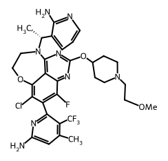 COCCN1CCC(Oc2nc3c4c(c(Cl)c(-c5nc(N)cc(C)c5C(F)(F)F)c(F)c4n2)OCCN3[C@H](C)c2cccnc2N)CC1